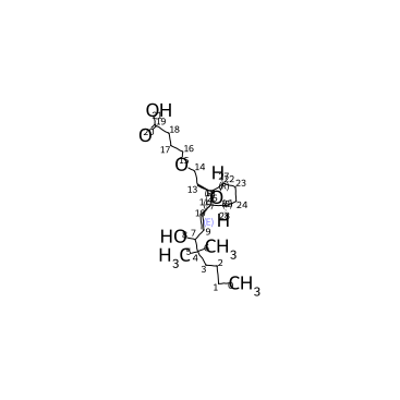 CCCCC(C)(C)C(O)/C=C/[C@H]1[C@@H](CCOCCCC(=O)O)[C@H]2CC[C@@H]1O2